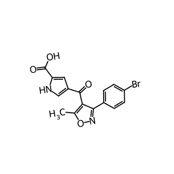 Cc1onc(-c2ccc(Br)cc2)c1C(=O)c1c[nH]c(C(=O)O)c1